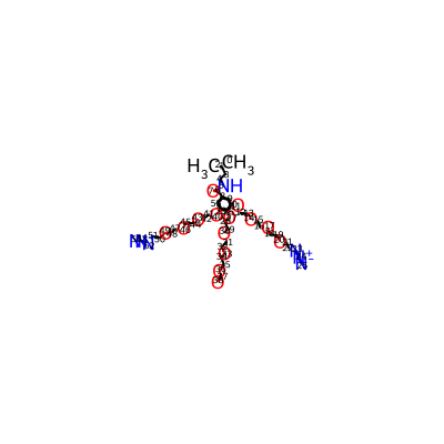 CC(C)CCNC(=O)c1cc(OCCOCCOCCOCCN=[N+]=[N-])c(OCCOCCOCCOC=O)c(OCCOCCOCCOCCN=[N+]=[N-])c1